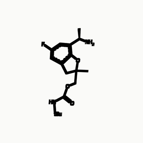 C[C@@H](N)c1cc(F)cc2c1OC(C)(COC(=O)NC(C)(C)C)C2